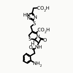 Nc1ccccc1CC(=O)NC1C(=O)N2C(C(=O)O)=C(CSc3n[nH]c(CC(=O)O)n3)CS[C@H]12